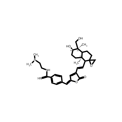 CN(C)CCNC(=N)c1ccc(/C=C2C=C(/C=C/C3C4(CCC5[C@]3(C)CC[C@@H](O)[C@@]5(C)CO)CO4)C(=O)O\2)cc1